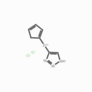 C1=CC[C]([Zr+2][C]2=[CH][SbH][Sb]=[Sb]2)=C1.[Cl-].[Cl-]